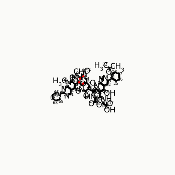 CSc1ncc2c(On3c(=O)c(C(=O)NCC(=O)O)c(O)c4cc(-c5ccccc5OC(C)C)nnc43)c(C(=O)NCC(=O)O)c(=O)n(Oc3c(C(=O)NCC=O)c(=O)n(C)c4nc(N5CCCCC5)ncc34)c2n1